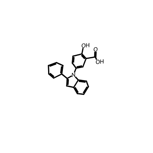 O=C(O)c1cc(-n2c(-c3ccccc3)cc3ccccc32)ccc1O